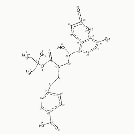 CC(C)(C)OC(=O)N(CCc1ccc(C(=O)O)cc1)C[C@H](O)c1ccc(O)c2[nH]c(=O)ccc12